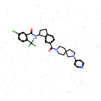 O=C(NC1CCc2ccc(C(=O)N3CCC4(CC3)CCN(c3ccncc3)C4)cc21)c1cc(Cl)ccc1C(F)(F)F